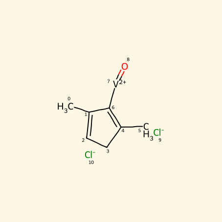 CC1=CCC(C)=[C]1[V+2]=[O].[Cl-].[Cl-]